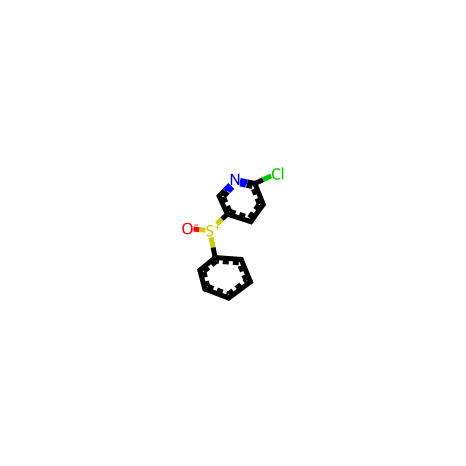 [O-][S+](c1ccccc1)c1ccc(Cl)nc1